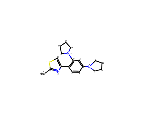 CC(C)(C)c1nc(-c2ccc(N3CCCC3)cc2N2CCCC2)cs1